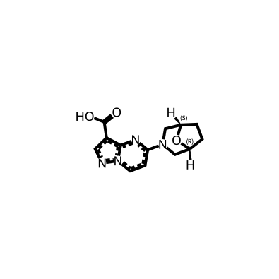 O=C(O)c1cnn2ccc(N3C[C@H]4CC[C@@H](C3)O4)nc12